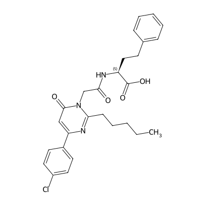 CCCCCc1nc(-c2ccc(Cl)cc2)cc(=O)n1CC(=O)N[C@@H](CCc1ccccc1)C(=O)O